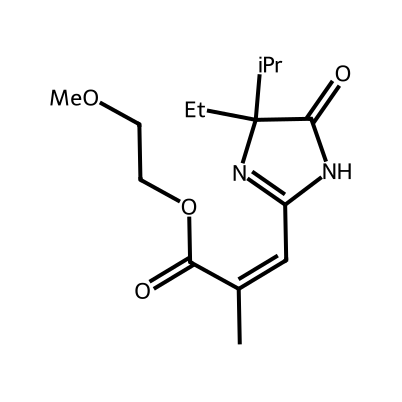 CCC1(C(C)C)N=C(C=C(C)C(=O)OCCOC)NC1=O